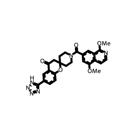 COc1cc(C(=O)N2CCC3(CC2)CC(=O)c2cc(-c4nnn[nH]4)ccc2O3)cc2c(OC)nccc12